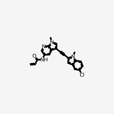 C=CC(=O)Nc1cnc2c(c1)c(C#Cc1cc3cc(Cl)ccc3n1C)cn2C